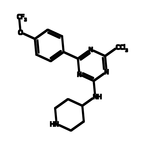 FC(F)(F)Oc1ccc(-c2nc(NC3CCNCC3)nc(C(Cl)(Cl)Cl)n2)cc1